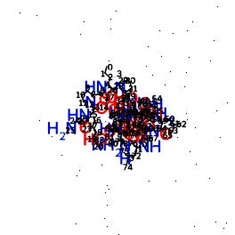 CC[C@H](C)[C@H](NC(=O)[C@@H]1CCCN1C(=O)[C@H](CCCCN)NC(=O)CN)C(=O)N1CCC[C@H]1C(=O)N[C@@H](CC(N)=O)C(=O)N1CCC[C@H]1C(=O)N[C@@H](CC(C)C)C(=O)N[C@@H](CC(C)C)C(=O)NCC(=O)N[C@@H](CC(C)C)C(=O)N[C@@H](CC(=O)O)C(=O)N[C@@H](CO)C(=O)N[C@H](C(=O)O)[C@@H](C)O